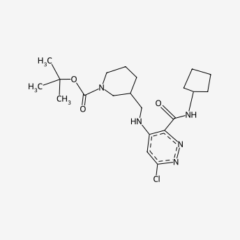 CC(C)(C)OC(=O)N1CCCC(CNc2cc(Cl)nnc2C(=O)NC2CCCC2)C1